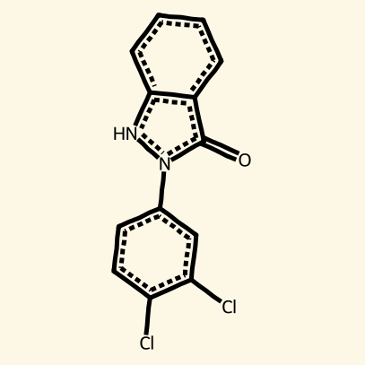 O=c1c2ccccc2[nH]n1-c1ccc(Cl)c(Cl)c1